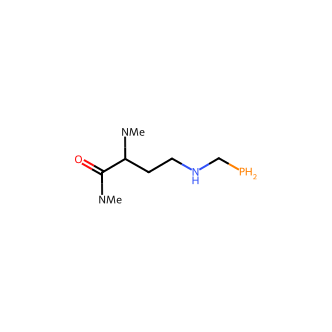 CNC(=O)C(CCNCP)NC